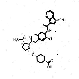 CC(C)[C@H]1CC[C@@H](CO[C@H]2CC[C@H](C(=O)O)CC2)N1C(=O)Cc1cc(Cl)c(NC(=O)c2cn(C)c3ccccc23)cc1F